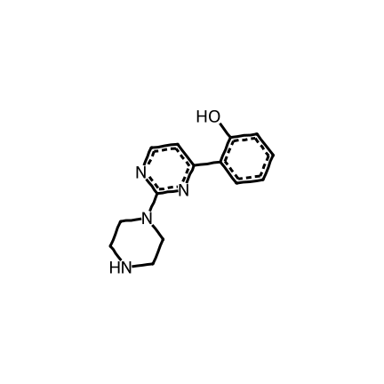 Oc1ccccc1-c1ccnc(N2CCNCC2)n1